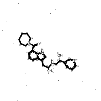 C[C@H](Cc1c[nH]c2c(C(=O)N3CCCCCC3)cccc12)NC[C@H](O)c1cccnc1